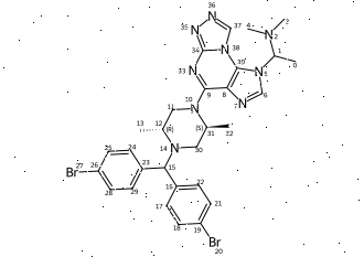 CC(N(C)C)n1cnc2c(N3C[C@@H](C)N(C(c4ccc(Br)cc4)c4ccc(Br)cc4)C[C@@H]3C)nc3nncn3c21